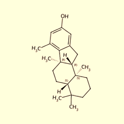 Cc1cc(O)cc2c1[C@]1(C)CC[C@H]3C(C)(C)CCC[C@]3(C)[C@H]1C2